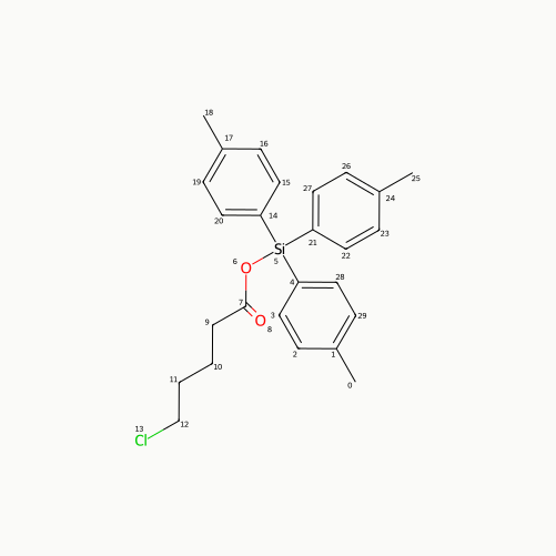 Cc1ccc([Si](OC(=O)CCCCCl)(c2ccc(C)cc2)c2ccc(C)cc2)cc1